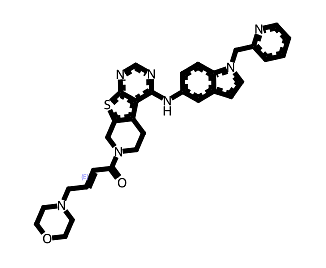 O=C(/C=C/CN1CCOCC1)N1CCc2c(sc3ncnc(Nc4ccc5c(ccn5Cc5ccccn5)c4)c23)C1